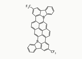 FC(F)(F)c1cc2c3c(c1)-c1ccc4cc5c6c(ccc7cc(c1c4c76)B3c1ccccc1-2)-c1cc(C(F)(F)F)cc2c1B5c1ccccc1-2